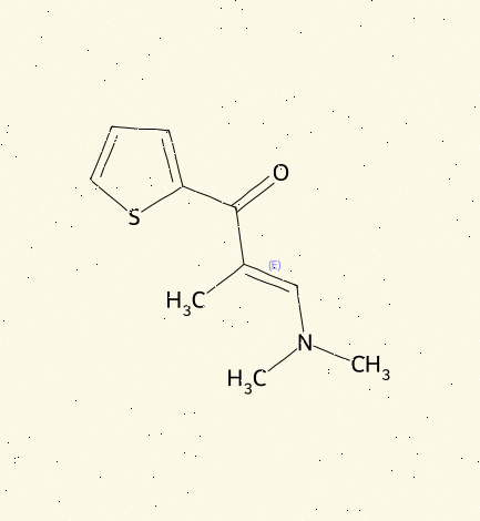 C/C(=C\N(C)C)C(=O)c1cccs1